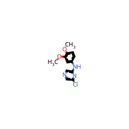 COc1ccc(Nc2cncc(Cl)n2)cc1OC